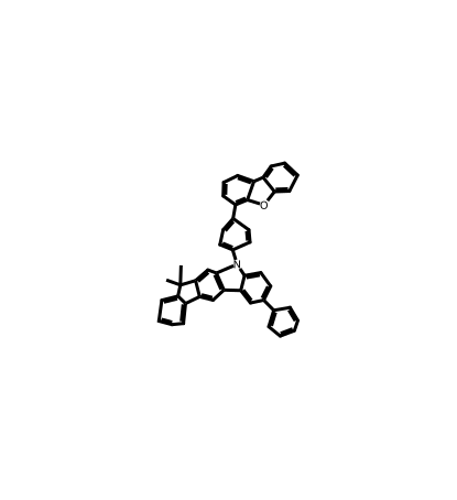 CC1(C)c2ccccc2-c2cc3c4cc(-c5ccccc5)ccc4n(-c4ccc(-c5cccc6c5oc5ccccc56)cc4)c3cc21